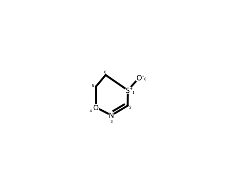 [O-][S+]1C=NOCC1